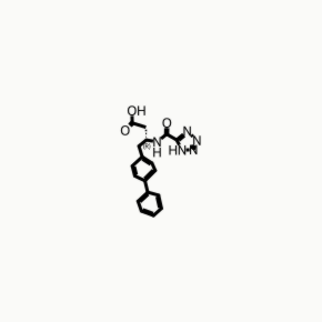 O=C(O)C[C@@H](Cc1ccc(-c2ccccc2)cc1)NC(=O)c1nnn[nH]1